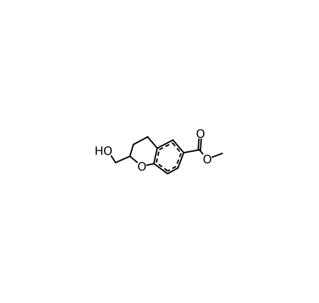 COC(=O)c1ccc2c(c1)CCC(CO)O2